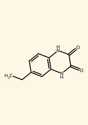 CCc1ccc2[nH]c(=O)c(=O)[nH]c2c1